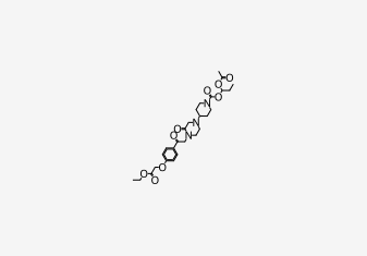 CCOC(=O)COc1ccc(C(=O)CN2CCN(C3CCN(C(=O)OC(CC)OC(C)=O)CC3)CC2=O)cc1